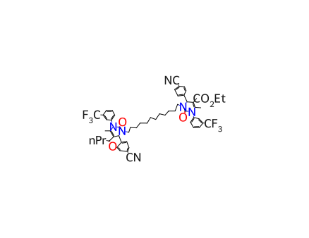 CCCC(=O)C1=C(C)N(c2cccc(C(F)(F)F)c2)C(=O)N(CCCCCCCCCCCCN2C(=O)N(c3cccc(C(F)(F)F)c3)C(C)=C(C(=O)OCC)C2c2ccc(C#N)cc2)C1c1ccc(C#N)cc1